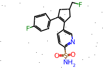 NS(=O)(=O)c1ccc(C2=C(c3ccc(F)cc3)CC(CF)C2)cn1